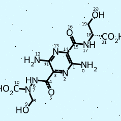 Nc1nc(C(=O)NN(CO)C(=O)O)c(N)nc1C(=O)N[C@H](CO)C(=O)O